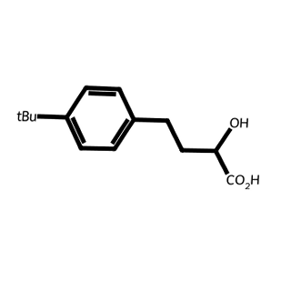 CC(C)(C)c1ccc(CCC(O)C(=O)O)cc1